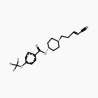 N#CC=CCC[C@H]1CC[C@H](OC(=O)c2ccc(OC(F)(F)F)cc2)CC1